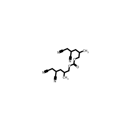 CC(COC(=O)OCC(C)CC(C#N)CC#N)CC(C#N)CC#N